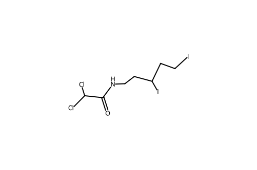 O=C(NCCC(I)CCI)C(Cl)Cl